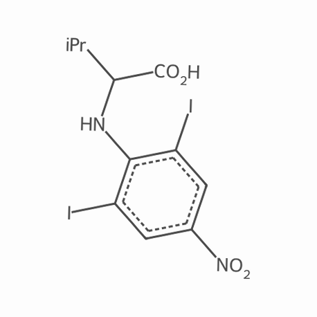 CC(C)C(Nc1c(I)cc([N+](=O)[O-])cc1I)C(=O)O